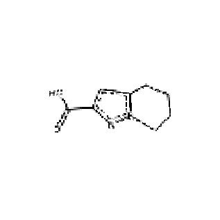 O=C(O)c1cc2n(n1)CCCC2